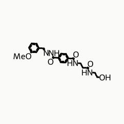 COc1cccc(C=NNC(=O)c2ccc(C(=O)NCCC(=O)NCCO)cc2)c1